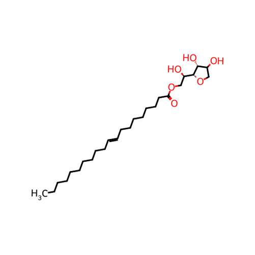 CCCCCCCCCC/C=C/CCCCCCCC(=O)OC[C@@H](O)[C@H]1OCC(O)[C@H]1O